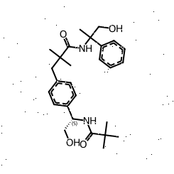 CC(C)(C)C(=O)N[C@H](CO)c1ccc(CC(C)(C)C(=O)NC(C)(CO)c2ccccc2)cc1